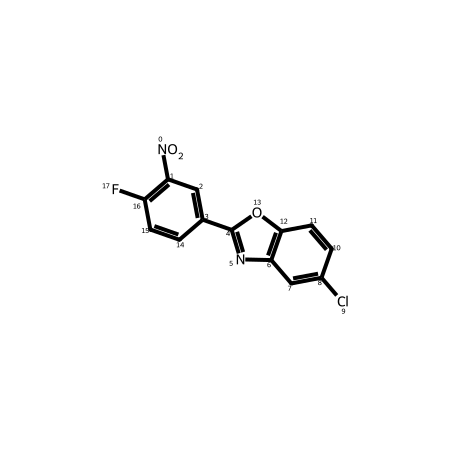 O=[N+]([O-])c1cc(-c2nc3cc(Cl)ccc3o2)ccc1F